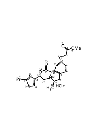 COC(=O)COc1ccc(CC(C)N2CC(=O)OC(c3csc(C(C)C)n3)C2)cc1.Cl